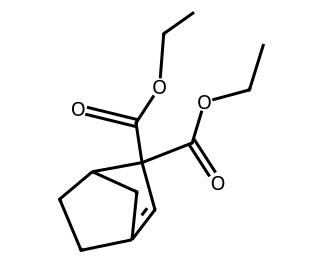 CCOC(=O)C1(C(=O)OCC)C=C2CCC1C2